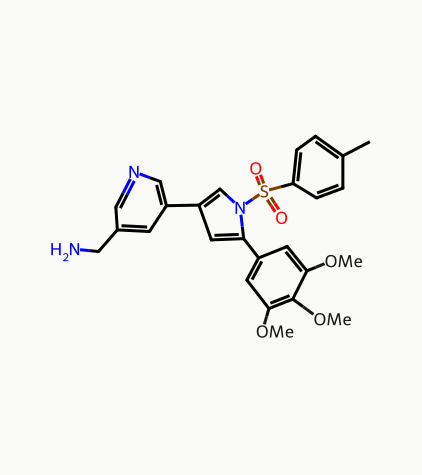 COc1cc(-c2cc(-c3cncc(CN)c3)cn2S(=O)(=O)c2ccc(C)cc2)cc(OC)c1OC